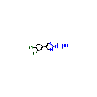 Clc1ccc(-c2cnc(N3CCNCC3)nc2)cc1Cl